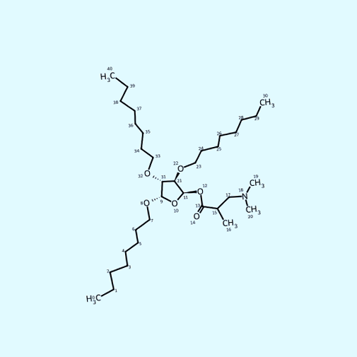 CCCCCCCCO[C@H]1O[C@H](OC(=O)C(C)CN(C)C)[C@H](OCCCCCCCC)[C@H]1OCCCCCCCC